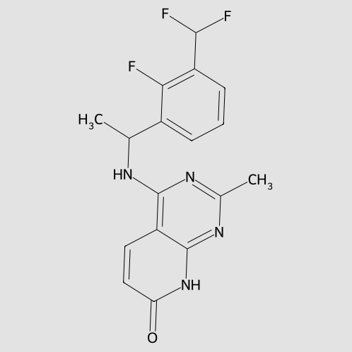 Cc1nc(NC(C)c2cccc(C(F)F)c2F)c2ccc(=O)[nH]c2n1